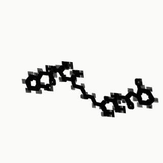 N=C(CCSCCC(=N)SC(=N)NC(=O)Cc1ccccc1Cl)SC(=N)NC(=O)Cc1ccccc1Cl